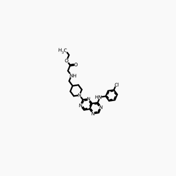 CCOC(=O)CNCC1CCN(c2ncc3ncnc(Nc4cccc(Cl)c4)c3n2)CC1